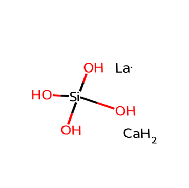 O[Si](O)(O)O.[CaH2].[La]